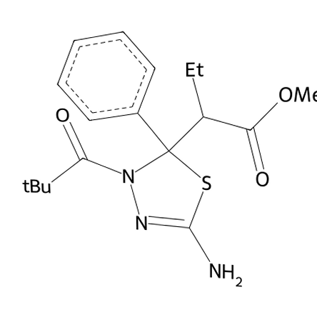 CCC(C(=O)OC)C1(c2ccccc2)SC(N)=NN1C(=O)C(C)(C)C